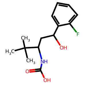 CC(C)(C)C(CC(O)c1ccccc1F)NC(=O)O